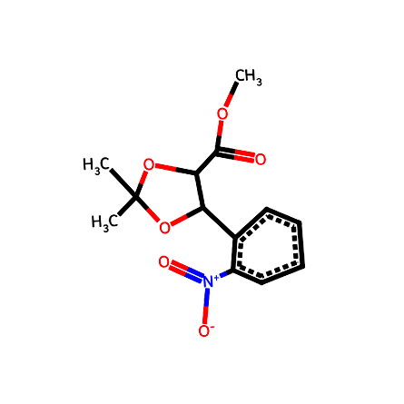 COC(=O)C1OC(C)(C)OC1c1ccccc1[N+](=O)[O-]